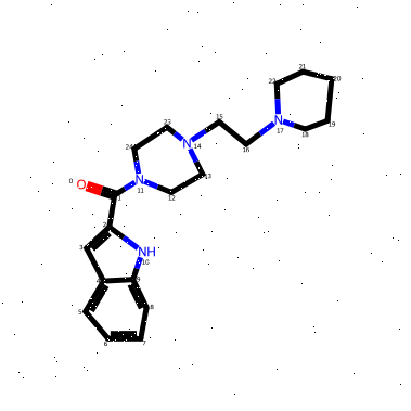 O=C(c1cc2ccccc2[nH]1)N1CCN(CCN2CCCCC2)CC1